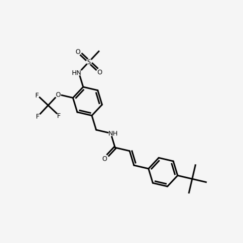 CC(C)(C)c1ccc(/C=C/C(=O)NCc2ccc(NS(C)(=O)=O)c(OC(F)(F)F)c2)cc1